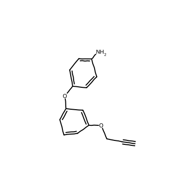 C#CCOc1cccc(Oc2ccc(N)cc2)c1